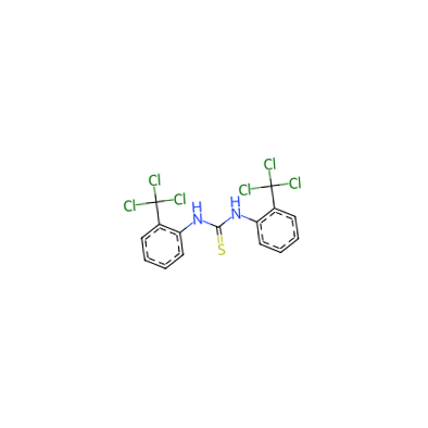 S=C(Nc1ccccc1C(Cl)(Cl)Cl)Nc1ccccc1C(Cl)(Cl)Cl